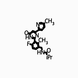 Cc1ccc(-c2cc(=O)[nH]c(-c3c(F)ccc(CNC(=O)C(C)C)c3C)n2)nc1